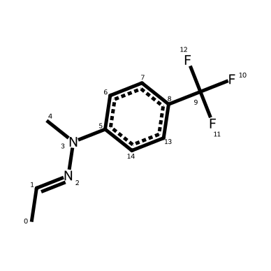 C/C=N/N(C)c1ccc(C(F)(F)F)cc1